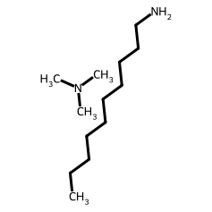 CCCCCCCCCCN.CN(C)C